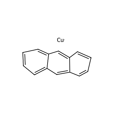 [Cu].c1ccc2cc3ccccc3cc2c1